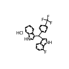 Cl.Fc1cccc2c([C](c3ccc(C(F)(F)F)cc3)c3c[nH]c4ccccc34)c[nH]c12